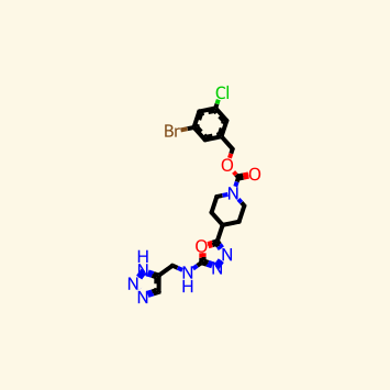 O=C(OCc1cc(Cl)cc(Br)c1)N1CCC(c2nnc(NCc3cnn[nH]3)o2)CC1